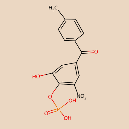 Cc1ccc(C(=O)c2cc(O)c(OP(=O)(O)O)c([N+](=O)[O-])c2)cc1